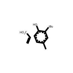 C=CC(=O)O.Cc1ccc(O)c(C(C)(C)C)c1